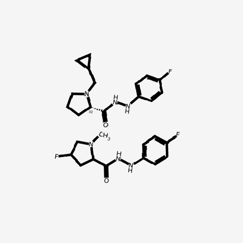 CN1CC(F)CC1C(=O)NNc1ccc(F)cc1.O=C(NNc1ccc(F)cc1)[C@@H]1CCCN1CC1CC1